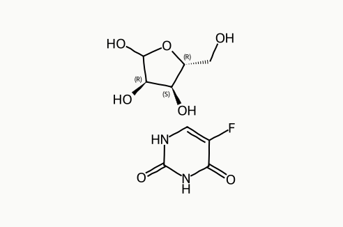 O=c1[nH]cc(F)c(=O)[nH]1.OC[C@H]1OC(O)[C@H](O)[C@@H]1O